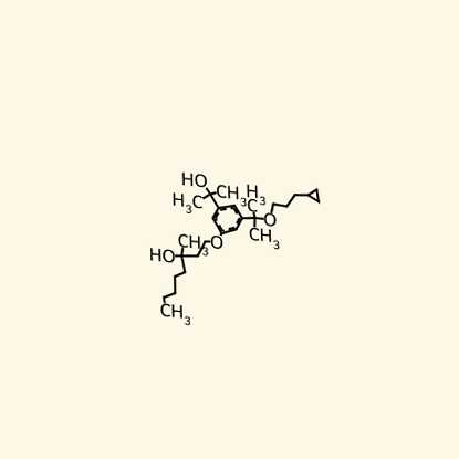 CCCCCC(C)(O)CCOc1cc(C(C)(C)O)cc(C(C)(C)OCCCC2CC2)c1